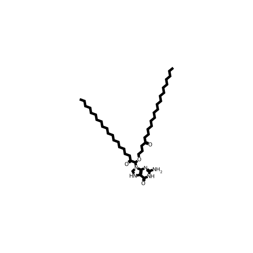 CCCCCCCCCCCCCCCCCCC(=O)CCCOC(C(=O)CCCCCCCCCCCCCCCCCC)N1CNc2c1nc(N)[nH]c2=O